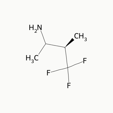 CC(N)[C@@H](C)C(F)(F)F